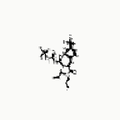 CCCN(CCC)C(=O)C1=Cc2ccc(C(F)(F)F)cc2N=C(NC(=O)OC(C)(C)C)C1